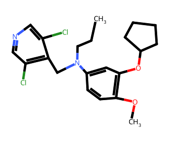 CCCN(Cc1c(Cl)cncc1Cl)c1ccc(OC)c(OC2CCCC2)c1